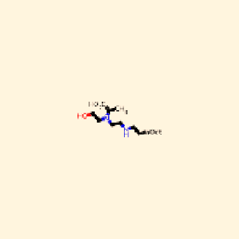 CCCCCCCCCCNCCN(CCO)C(C)C(=O)O